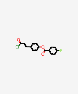 O=C(Cl)C=Cc1ccc(OC(=O)c2ccc(F)cc2)cc1